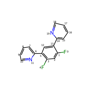 Fc1cc(F)c(-c2ccccn2)cc1-c1ccccn1